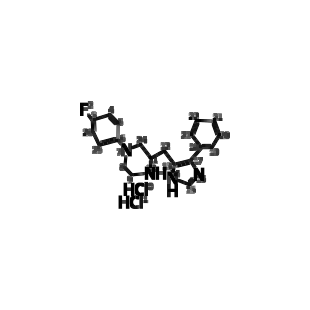 Cl.Cl.Fc1ccc(N2CCNC(Cc3[nH]cnc3-c3ccccc3)C2)cc1